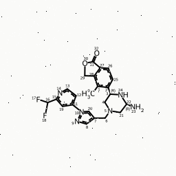 Cc1c([C@@H]2CN(Cc3cnn(-c4ccnc(C(F)F)c4)c3)C[C@H](N)N2)ccc2c1COC2=O